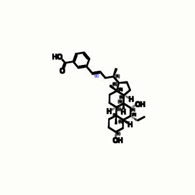 CC[C@H]1[C@@H](O)[C@@H]2[C@H](CC[C@]3(C)[C@@H]([C@H](C)C/C=C/c4cccc(C(=O)O)c4)CC[C@@H]23)[C@@]2(C)CC[C@@H](O)C[C@@H]12